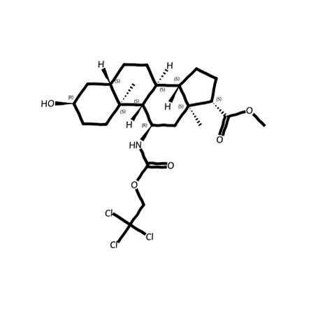 COC(=O)[C@H]1CC[C@H]2[C@@H]3CC[C@H]4C[C@H](O)CC[C@]4(C)[C@H]3[C@H](NC(=O)OCC(Cl)(Cl)Cl)C[C@]12C